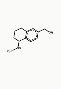 BN[C@H]1CCCc2cc(CO)ccc21